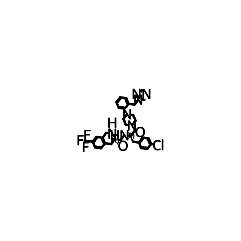 O=C(N[C@H](Cc1ccc(Cl)cc1)C(=O)N1CCN(c2ccccc2Cn2cncn2)CC1)[C@H]1Cc2ccc(C(F)(F)F)cc2CN1